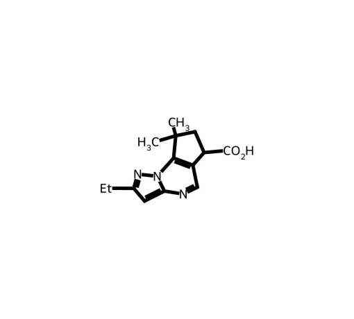 CCc1cc2ncc3c(n2n1)C(C)(C)CC3C(=O)O